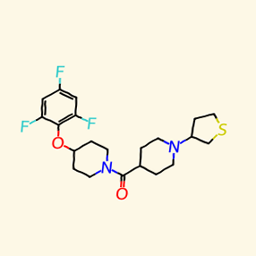 O=C(C1CCN(C2CCSC2)CC1)N1CCC(Oc2c(F)cc(F)cc2F)CC1